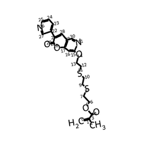 C=C(C)C(=O)OCCSCCSCCOc1cc2oc(=O)c(-c3cccnc3)cc2cn1